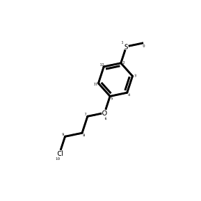 CSc1ccc(OCCCCl)cc1